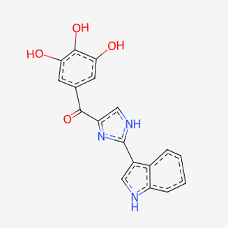 O=C(c1cc(O)c(O)c(O)c1)c1c[nH]c(-c2c[nH]c3ccccc23)n1